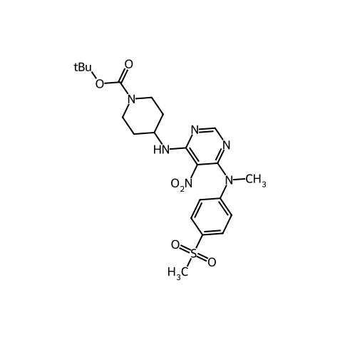 CN(c1ccc(S(C)(=O)=O)cc1)c1ncnc(NC2CCN(C(=O)OC(C)(C)C)CC2)c1[N+](=O)[O-]